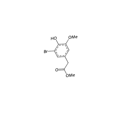 COC(=O)Cc1cc(Br)c(O)c(OC)c1